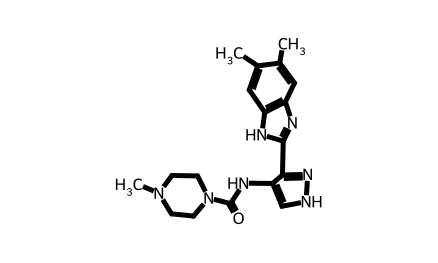 Cc1cc2nc(-c3n[nH]cc3NC(=O)N3CCN(C)CC3)[nH]c2cc1C